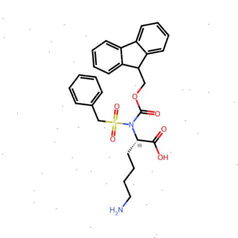 NCCCC[C@@H](C(=O)O)N(C(=O)OCC1c2ccccc2-c2ccccc21)S(=O)(=O)Cc1ccccc1